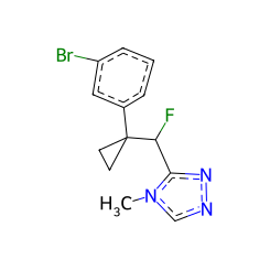 Cn1cnnc1C(F)C1(c2cccc(Br)c2)CC1